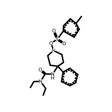 CCN(CC)C(=O)NC1(c2ccccc2)CCN(OS(=O)(=O)c2ccc(C)cc2)CC1